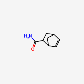 NC(=O)C1[CH]C2C=CC1C2